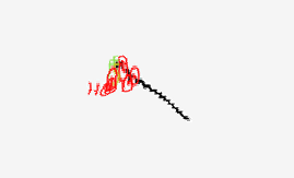 CCCCCCCCCCCCCCCCCCCCOC(=O)COC(=O)C(F)(F)SOOO